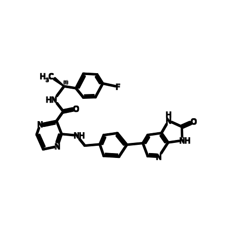 C[C@H](NC(=O)c1nccnc1NCc1ccc(-c2cnc3[nH]c(=O)[nH]c3c2)cc1)c1ccc(F)cc1